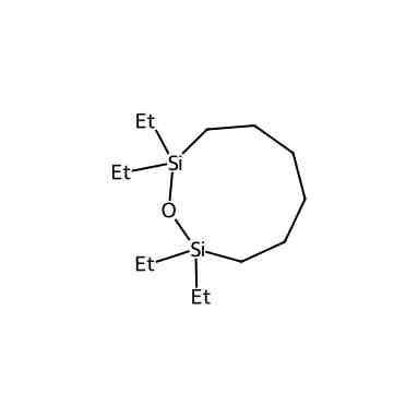 CC[Si]1(CC)CCCCCC[Si](CC)(CC)O1